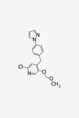 COCOc1cnc(Cl)cc1Cc1ccc(-n2cccn2)cc1